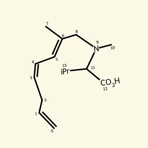 C=CC/C=C\C=C(/C)CN(C)C(C(=O)O)C(C)C